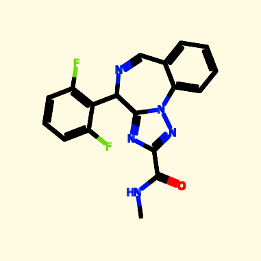 CNC(=O)c1nc2n(n1)-c1ccccc1C=NC2c1c(F)cccc1F